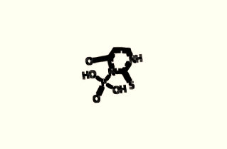 O=c1cc[nH]c(=S)n1P(=O)(O)O